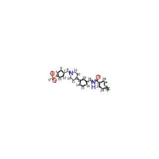 CS(=O)(=O)c1ccc(CN2CCC(c3cccc(CNC(=O)c4ccc(F)cc4)c3)CC2)cc1